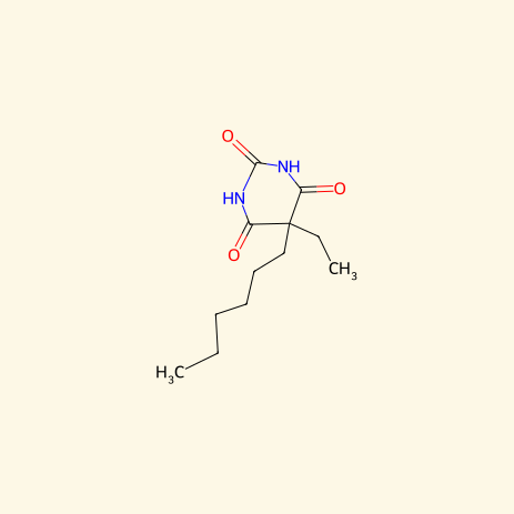 CCCCCCC1(CC)C(=O)NC(=O)NC1=O